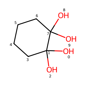 OC1(O)CCCCC1(O)O